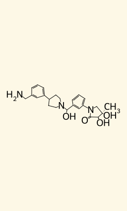 C[C@@]1(O)CN(c2cccc(C(O)N3CCC(c4cccc(CN)c4)CC3)c2)C(=O)[C@@H]1O